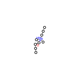 c1ccc(C2=NC(c3ccc(-c4ccc(-c5ccccc5)cc4)cc3)NC(c3ccccc3-c3cccc4oc5c(-c6ccc(-c7ccccc7)cc6)cccc5c34)=N2)cc1